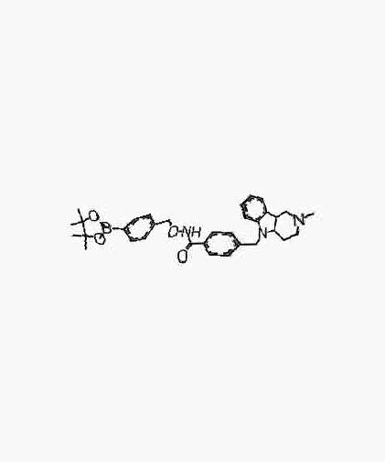 CN1CCC2C(C1)c1ccccc1N2Cc1ccc(C(=O)NOCc2ccc(B3OC(C)(C)C(C)(C)O3)cc2)cc1